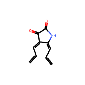 C=C/C=C1/NC(=O)C(=O)/C1=C/C=C